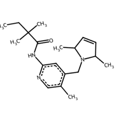 CCC(C)(C)C(=O)Nc1cc(CN2C(C)C=CC2C)c(C)cn1